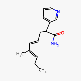 CCC=C(C)C=CCC(C(N)=O)c1cccnc1